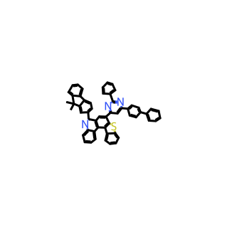 CC1(C)c2ccccc2-c2ccc(-c3nc4ccccc4c4c3cc(-c3cc(-c5ccc(-c6ccccc6)cc5)nc(-c5ccccc5)n3)c3sc5ccccc5c34)cc21